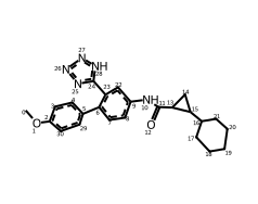 COc1ccc(-c2ccc(NC(=O)C3CC3C3CCCCC3)cc2-c2nnn[nH]2)cc1